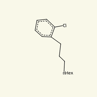 CCCCCCCCCc1ccccc1Cl